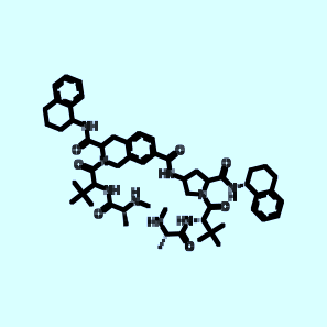 CN[C@@H](C)C(=O)NC(C(=O)N1Cc2cc(C(=O)NC3CC(C(=O)N[C@@H]4CCCc5ccccc54)N(C(=O)[C@@H](NC(=O)[C@H](C)NC)C(C)(C)C)C3)ccc2CC1C(=O)NC1CCCc2ccccc21)C(C)(C)C